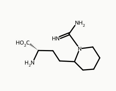 N=C(N)N1CCCCC1CC[C@H](N)C(=O)O